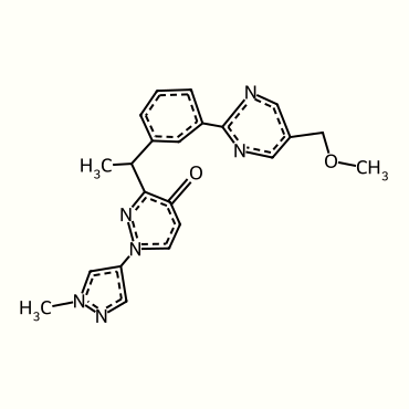 COCc1cnc(-c2cccc(C(C)c3nn(-c4cnn(C)c4)ccc3=O)c2)nc1